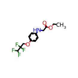 CCOC(=O)CNc1ccc(OCC(F)(F)C(F)F)cc1